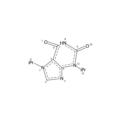 CC(C)n1cnc2c1c(=O)[nH]c(=O)n2C(C)C